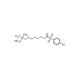 CC(C)(CCCCCCCNS(=O)(=O)c1ccc(Cl)cc1)C(=O)O